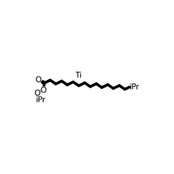 CC(C)CCCCCCCCCCCCCCC(=O)OOC(C)C.[Ti]